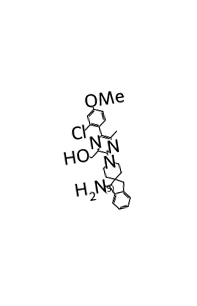 COc1ccc(-c2nc(CO)c(N3CCC4(CC3)Cc3ccccc3[C@H]4N)nc2C)c(Cl)c1